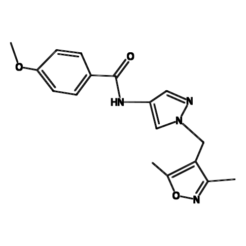 COc1ccc(C(=O)Nc2cnn(Cc3c(C)noc3C)c2)cc1